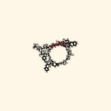 CC[C@H](C)[C@H]1C(=O)NC[C@@H](NC(=O)c2nc3ccccc3cc2OCc2ccc(NC(=O)[C@H](CCCNC(N)=O)NC(=O)[C@@H](NC(=O)CCOCCOCCOCCN3C(=O)C=CC3=O)C(C)C)cc2)C(=O)N2CCCC[C@H]2C(=O)NCC(=O)N(C)CC(=O)N(C)[C@@H]([C@@H](C)CC)C(=O)NC[C@@H](NC(=O)c2nc3ccccc3cc2O)C(=O)N2CCCC[C@H]2C(=O)NCC(=O)N(C)CC(=O)N1C